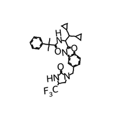 CC(C)(C(=O)NC(c1nc2cc(CN3CC(C(F)(F)F)NC3=O)ccc2o1)C(C1CC1)C1CC1)c1ccccc1